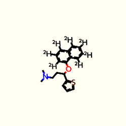 [2H]c1c([2H])c([2H])c2c(OC(CCN(C)C)c3cccs3)c([2H])c([2H])c([2H])c2c1[2H]